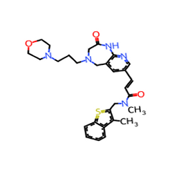 Cc1c(CN(C)C(=O)C=Cc2cnc3c(c2)CN(CCCN2CCOCC2)CC(=O)N3)sc2ccccc12